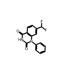 O=c1[nH]c(=O)n(-c2ccccc2)c2cc(C(F)F)ccc12